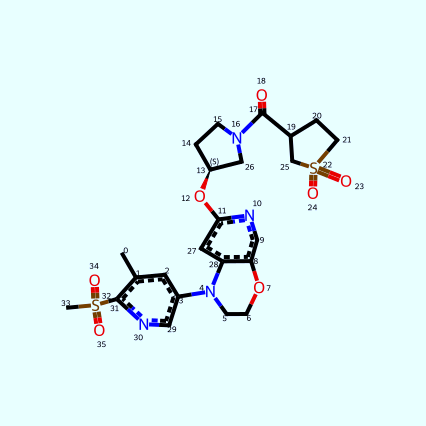 Cc1cc(N2CCOc3cnc(O[C@H]4CCN(C(=O)C5CCS(=O)(=O)C5)C4)cc32)cnc1S(C)(=O)=O